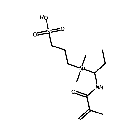 C=C(C)C(=O)NC(CC)[N+](C)(C)CCCS(=O)(=O)O